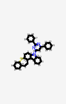 C1=Cc2c(ccc3c2c2ccccc2n3-c2cc(-c3ccccc3)nc(-c3ccccc3)n2)Sc2ccccc21